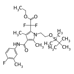 CCOC(=O)C(F)(F)c1c(C)c(C(=O)Nc2ccc(F)c(C)c2)c(C)n1CCO[Si](C)(C)C(C)(C)C